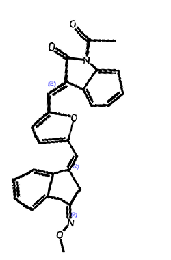 CO/N=C1/C/C(=C/c2ccc(/C=C3/C(=O)N(C(C)=O)c4ccccc43)o2)c2ccccc21